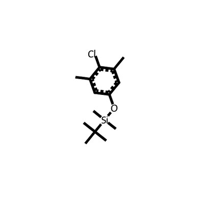 Cc1cc(O[Si](C)(C)C(C)(C)C)cc(C)c1Cl